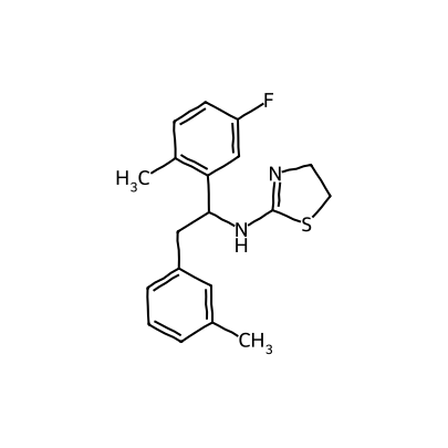 Cc1cccc(CC(NC2=NCCS2)c2cc(F)ccc2C)c1